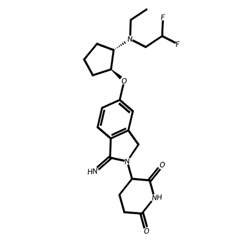 CCN(CC(F)F)[C@H]1CCC[C@@H]1Oc1ccc2c(c1)CN(C1CCC(=O)NC1=O)C2=N